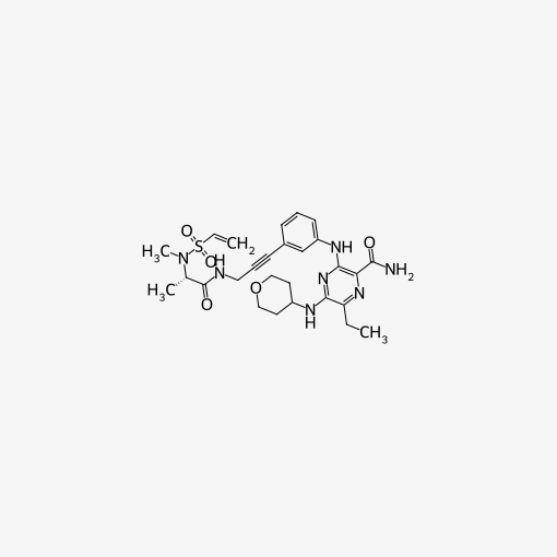 C=CS(=O)(=O)N(C)[C@@H](C)C(=O)NCC#Cc1cccc(Nc2nc(NC3CCOCC3)c(CC)nc2C(N)=O)c1